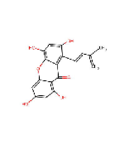 C=C(C)C=Cc1c(O)cc(O)c2oc3cc(O)cc(O)c3c(=O)c12